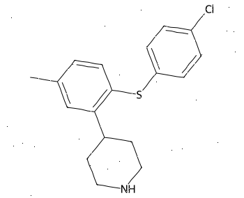 Cc1ccc(Sc2ccc(Cl)cc2)c(C2CCNCC2)c1